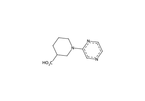 O=C(O)C1CCCN(c2cnccn2)C1